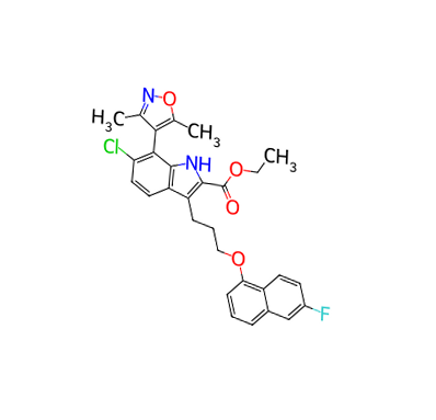 CCOC(=O)c1[nH]c2c(-c3c(C)noc3C)c(Cl)ccc2c1CCCOc1cccc2cc(F)ccc12